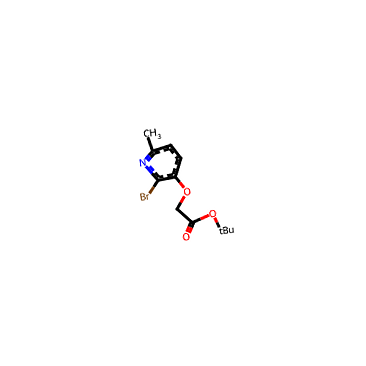 Cc1ccc(OCC(=O)OC(C)(C)C)c(Br)n1